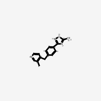 Cc1cnccc1Cc1ccc(-c2noc(C(F)(F)F)n2)cc1